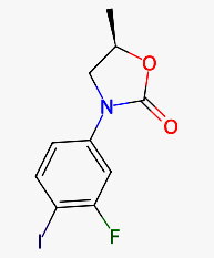 C[C@@H]1CN(c2ccc(I)c(F)c2)C(=O)O1